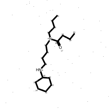 CCCCN(CCCCNC1CCCCC1)C(=O)CCC